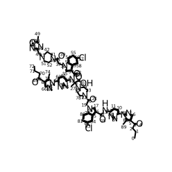 CCCC(=O)c1cnn(-c2ccc(NC(=O)c3cn(CC(=O)N4CCN(C(C)(C(=O)O)N(C(=O)c5cn(CC(=O)N6CCN(Cc7noc(C)n7)CC6)c6ccc(Cl)cc56)c5ccc(-n6ncc(C(=O)CCC)c6C)nn5)CC4)c4ccc(Cl)cc34)nn2)c1C